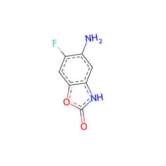 Nc1cc2[nH]c(=O)oc2cc1F